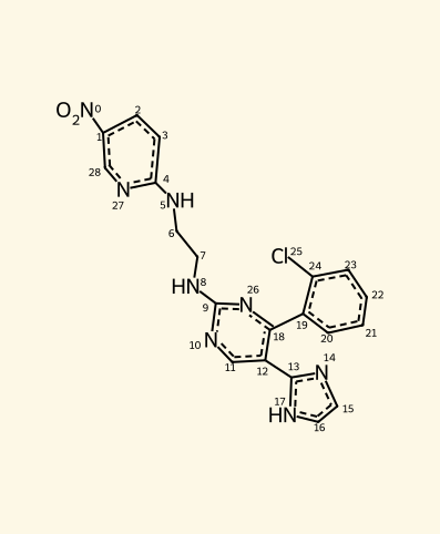 O=[N+]([O-])c1ccc(NCCNc2ncc(-c3ncc[nH]3)c(-c3ccccc3Cl)n2)nc1